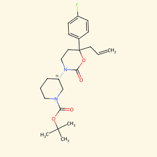 C=CCC1(c2ccc(F)cc2)CCN([C@H]2CCCN(C(=O)OC(C)(C)C)C2)C(=O)O1